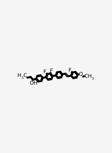 CCCC(O)c1ccc(-c2ccc(-c3ccc(/C=C/c4ccc(OCC)cc4F)cc3)c(F)c2F)cc1